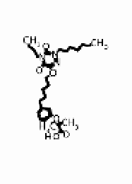 CCCCCCCn1nc(OCCCCCc2cccc(OC(C)(C)C(=O)O)c2)c(=O)n(CCCC)c1=O